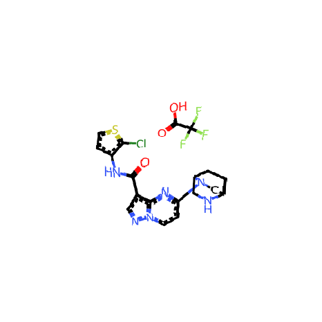 O=C(Nc1ccsc1Cl)c1cnn2ccc(N3CC4CCC3CN4)nc12.O=C(O)C(F)(F)F